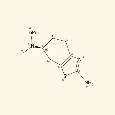 CCCN(C)[C@H]1CCc2nc(N)sc2C1